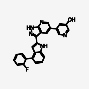 Oc1cncc(-c2cnc3[nH]nc(-c4cc5c(-c6ccccc6F)cccc5[nH]4)c3c2)c1